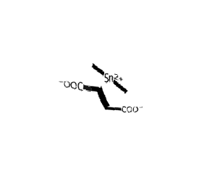 O=C([O-])C=CC(=O)[O-].[CH3][Sn+2][CH3]